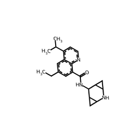 CCc1cc(C(=O)NC2C3CC3NC3CC32)c2nccc(C(C)C)c2c1